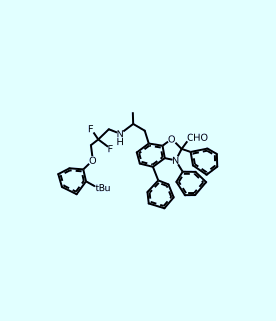 CC(Cc1ccc(-c2ccccc2)c2c1OC(C=O)(c1ccccc1)N2c1ccccc1)NCC(F)(F)COc1ccccc1C(C)(C)C